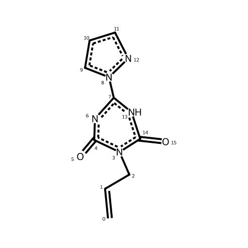 C=CCn1c(=O)nc(-n2cccn2)[nH]c1=O